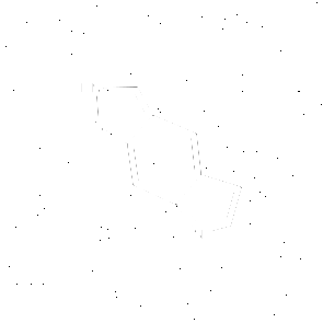 C1=Cc2cc3c(cc2=[N+]1)NNC=3